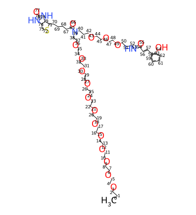 CCCOCCOCCOCCOCCOCCOCCOCCOCCOCCOCCOCCOCCN(CCCOCCOCCOCCCNC(=O)C=Cc1ccccc1O)C(=O)CCCCC1SCC2NC(=O)NC21